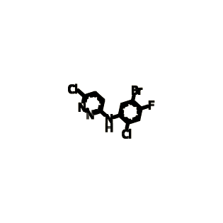 Fc1cc(Cl)c(Nc2ccc(Cl)nn2)cc1Br